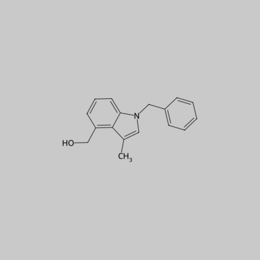 Cc1cn(Cc2ccccc2)c2cccc(CO)c12